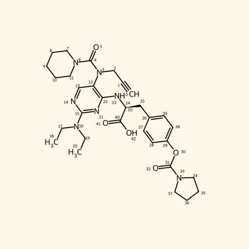 C#CCN(C(=O)N1CCCCC1)c1cnc(N(CC)CC)nc1N[C@@H](Cc1ccc(OC(=O)N2CCCC2)cc1)C(=O)O